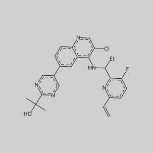 C=Cc1ccc(F)c(C(CC)Nc2c(Cl)cnc3ccc(-c4cnc(C(C)(C)O)nc4)cc23)n1